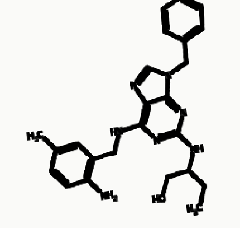 CCC(CO)Nc1nc(NCc2cc(C)ccc2N)c2ncn(Cc3ccccc3)c2n1